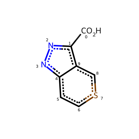 O=C(O)c1nnc2ccscc1-2